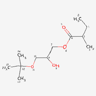 CCC(C)C(=O)OCC(O)COC(C)(C)C